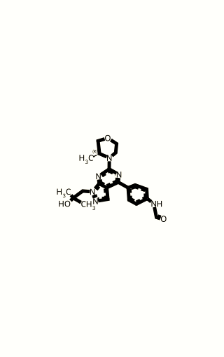 C[C@@H]1COCCN1c1nc(-c2ccc(NC=O)cc2)c2cnn(CC(C)(C)O)c2n1